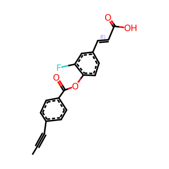 CC#Cc1ccc(C(=O)Oc2ccc(/C=C/C(=O)O)cc2F)cc1